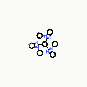 C1=CCC(n2c(-c3cc(-c4nc5ccccc5n4C4=CCCC=C4)cc(-c4nc5ccccc5n4-c4ccccc4)c3)nc3ccccc32)C=C1